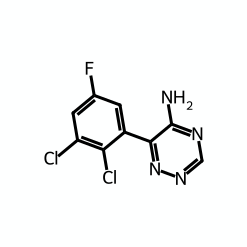 Nc1ncnnc1-c1cc(F)cc(Cl)c1Cl